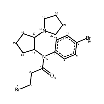 O=C(CCBr)N(c1ccc(Br)cc1)C1CCCC1N1CCCC1